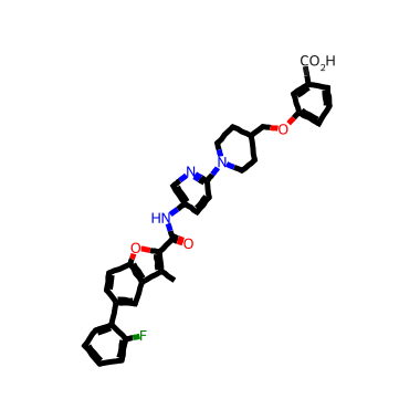 Cc1c(C(=O)Nc2ccc(N3CCC(COc4cccc(C(=O)O)c4)CC3)nc2)oc2ccc(-c3ccccc3F)cc12